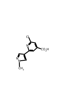 Cn1cc(-c2cc(C(=O)O)cc(Cl)n2)cn1